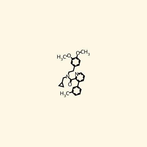 COc1ccc(CCN(CC2CC2)C(=O)c2ncccc2-c2cccc(C)c2)cc1OC